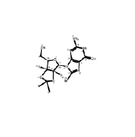 CC1(C)O[C@@H]2[C@H](O1)[C@@H](CO)O[C@H]2n1c(Br)nc2c(=O)[nH]c(N)nc21